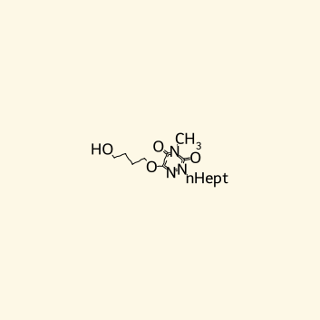 CCCCCCCn1nc(OCCCCO)c(=O)n(C)c1=O